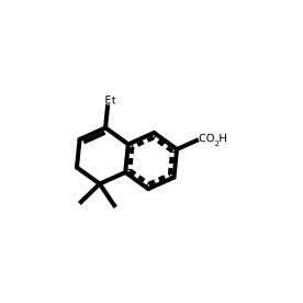 CCC1=CCC(C)(C)c2ccc(C(=O)O)cc21